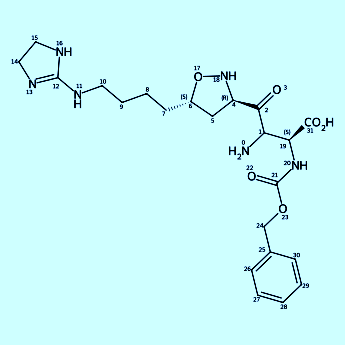 NC(C(=O)[C@H]1C[C@H](CCCCNC2=NCCN2)ON1)[C@H](NC(=O)OCc1ccccc1)C(=O)O